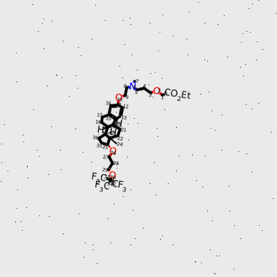 CCOC(=O)COCCCN(C)CCOc1ccc2c(c1)CC[C@@H]1[C@@H]2CC[C@]2(C)[C@@H](OCCCOC(C(F)(F)F)(C(F)(F)F)C(F)(F)F)CC[C@@H]12